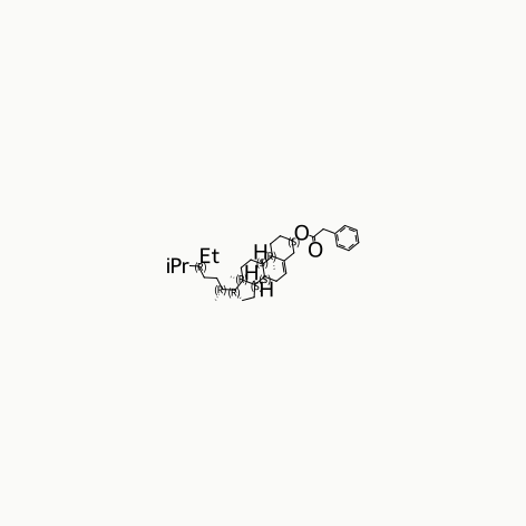 CC[C@H](CC[C@@H](C)[C@H]1CC[C@H]2[C@@H]3CC=C4C[C@@H](OC(=O)Cc5ccccc5)CC[C@]4(C)[C@H]3CC[C@]12C)C(C)C